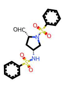 O=C[C@H]1C[C@@H](NS(=O)(=O)c2ccccc2)CN1S(=O)(=O)c1ccccc1